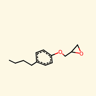 CCCCc1ccc(OCC2CO2)cc1